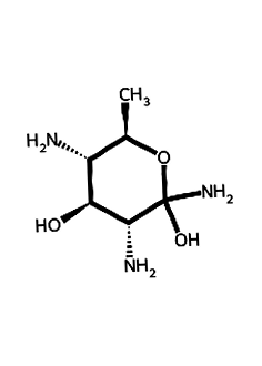 C[C@H]1OC(N)(O)[C@H](N)[C@@H](O)[C@@H]1N